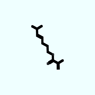 C=C(C)C(=O)OCCCC=CC(C)C